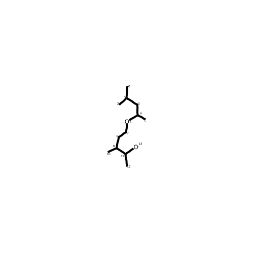 CC(C)CC(C)OCCC(C)C(C)[O]